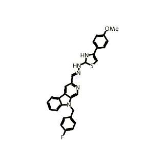 COc1ccc(C2=CSC(N/N=C/c3cc4c5ccccc5n(Cc5ccc(F)cc5)c4cn3)N2)cc1